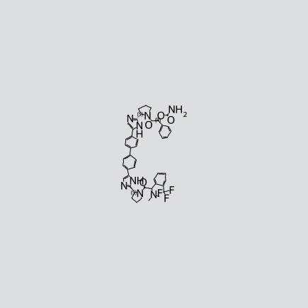 CN(C)C(C(=O)N1CCC[C@H]1c1ncc(-c2ccc(-c3ccc(-c4cnc([C@@H]5CCCN5C(=O)[C@H](OC(N)=O)c5ccccc5)[nH]4)cc3)cc2)[nH]1)c1ccccc1C(F)(F)F